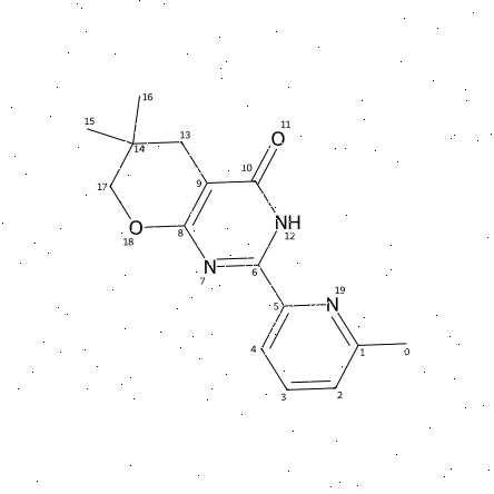 Cc1cccc(-c2nc3c(c(=O)[nH]2)CC(C)(C)CO3)n1